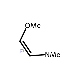 CN/C=C\OC